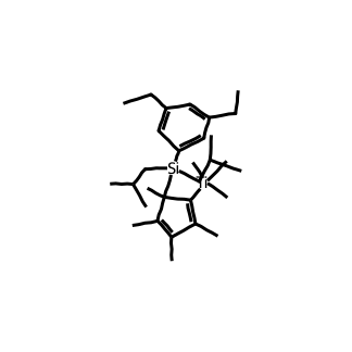 CCc1cc(CC)cc([Si](CC(C)C)(CC(C)C)C2(C)C(C)=C(C)C(C)=[C]2[Ti]([CH3])([CH3])[CH3])c1